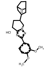 COc1ccc(-c2nc3n(n2)CC(C2CC4CCC(C2)N4)CC3)cc1OC.Cl